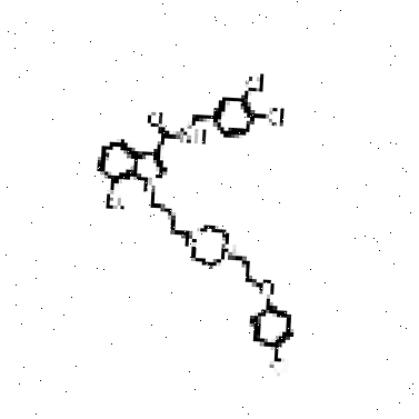 CCc1cccc2c(C(=O)NCc3ccc(Cl)c(Cl)c3)cn(CCCN3CCN(CCOc4ccc(Cl)cc4)CC3)c12